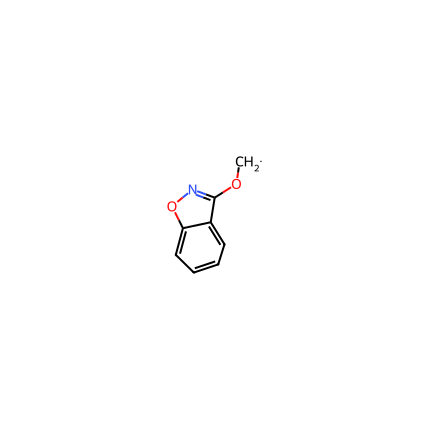 [CH2]Oc1noc2ccccc12